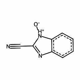 N#CC1=Nc2ccccc2[NH+]1[O-]